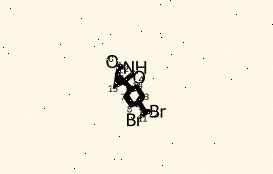 O=C1NC(=O)C2(c3ccc(C(Br)Br)cc3)CC12